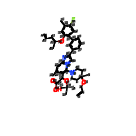 C=CCOC1(C)CCN(c2c(C(OC(C)(C)C)C(=O)O)c(C)cc3nc(-c4cccc(-c5cc(F)c(C)cc5OC(C)CC=C)c4)cn23)CC1